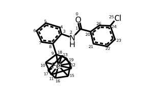 O=C(Nc1ccccc1[C]12[CH]3[CH]4[CH]5[CH]1[Fe]45321678[CH]2[CH]1[CH]6[CH]7[CH]28)c1cccc(Cl)c1